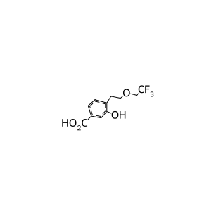 O=C(O)c1ccc(CCOCC(F)(F)F)c(O)c1